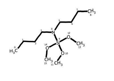 CCCCN(CCCC)[Si](OC)(OC)OC